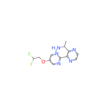 CC(N)c1nccnc1-c1ncc(OCC(F)F)cn1